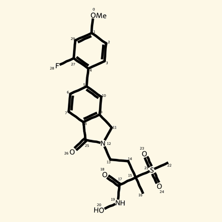 COc1ccc(-c2ccc3c(c2)CN(CCC(C)(C(=O)NO)S(C)(=O)=O)C3=O)c(F)c1